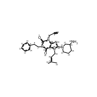 C#CCn1c(=O)n(CCc2ccccc2)c(=O)c2c1nc(N1CCCC(N)C1)n2CC=C(C)C